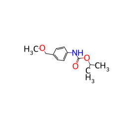 COCc1ccc(NC(=O)OC(C)C)cc1